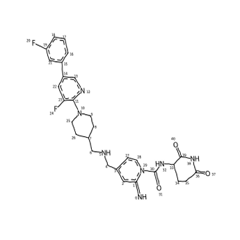 N=c1cc(CNCC2CCN(c3ncc(-c4cccc(F)c4)cc3F)CC2)ccn1C(=O)NC1CCC(=O)NC1=O